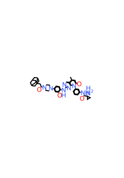 COc1cc(N2CCN(C(=O)CC34CC5CC(CC(C5)C3)C4)CC2)ccc1Nc1ncc2c(C)cc(=O)n(-c3cccc(NC(=O)C4(N)CC4)c3)c2n1